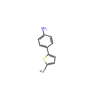 Cc1ccc(-c2c[c]c(N)cc2)s1